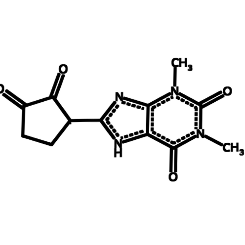 Cn1c(=O)c2[nH]c([C]3CCC(=O)C3=O)nc2n(C)c1=O